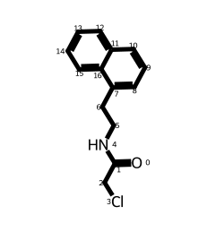 O=C(CCl)NCCc1cccc2ccccc12